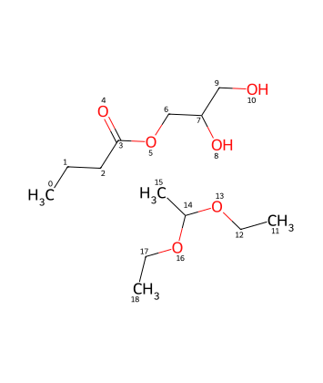 CCCC(=O)OCC(O)CO.CCOC(C)OCC